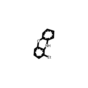 CCc1cccc2c1Nc1ccccc1O2